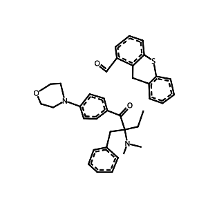 CCC(Cc1ccccc1)(C(=O)c1ccc(N2CCOCC2)cc1)N(C)C.O=Cc1cccc2c1Cc1ccccc1S2